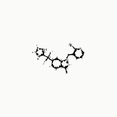 Cc1nn(Cc2cccnc2C#N)c2cc(C(F)(F)c3nnn[nH]3)ccc12